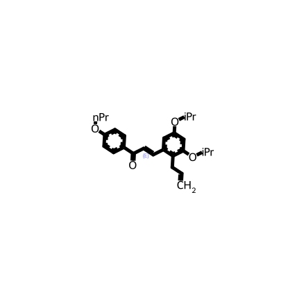 C=CCc1c(/C=C/C(=O)c2ccc(OCCC)cc2)cc(OC(C)C)cc1OC(C)C